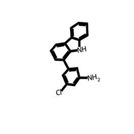 Nc1cc(Cl)cc(-c2cccc3c2[nH]c2ccccc23)c1